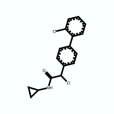 O=C(NC1CC1)C(Cl)c1ccc(-c2ccccc2Cl)cc1